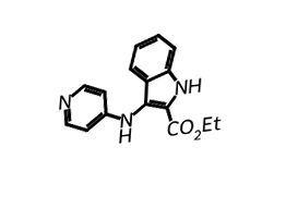 CCOC(=O)c1[nH]c2ccccc2c1Nc1ccncc1